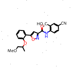 COCC(C)Oc1ccccc1-c1cc(C(=O)Nc2ccc(C#N)cc2C(=O)O)no1